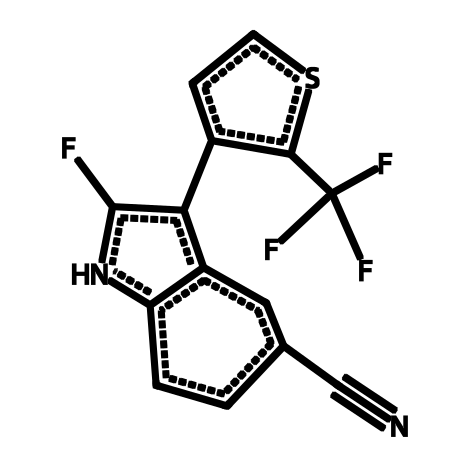 N#Cc1ccc2[nH]c(F)c(-c3ccsc3C(F)(F)F)c2c1